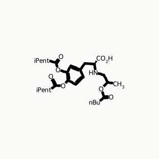 CCCCC(=O)OC(C)CN[C@@H](Cc1ccc(OC(=O)C(C)CCC)c(OC(=O)C(C)CCC)c1)C(=O)O